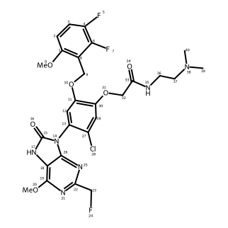 COc1ccc(F)c(F)c1COc1cc(-n2c(=O)[nH]c3c(OC)nc(CF)nc32)c(Cl)cc1OCC(=O)NCCN(C)C